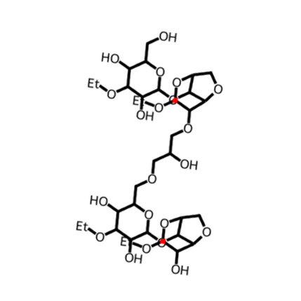 CCOC1OC2COC(C1O)C2OC1OC(COCC(O)COC2C(OCC)OC3COC2C3OC2OC(CO)C(O)C(OCC)C2O)C(O)C(OCC)C1O